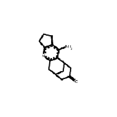 Nc1c2c(nc3c1C1CC(=O)CC(C3)C1)CCC2